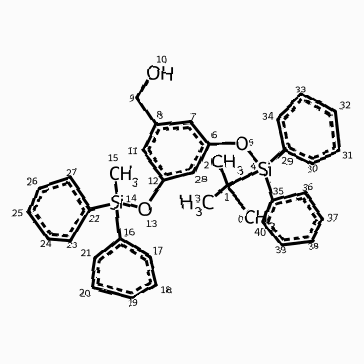 CC(C)(C)[Si](Oc1cc(CO)cc(O[Si](C)(c2ccccc2)c2ccccc2)c1)(c1ccccc1)c1ccccc1